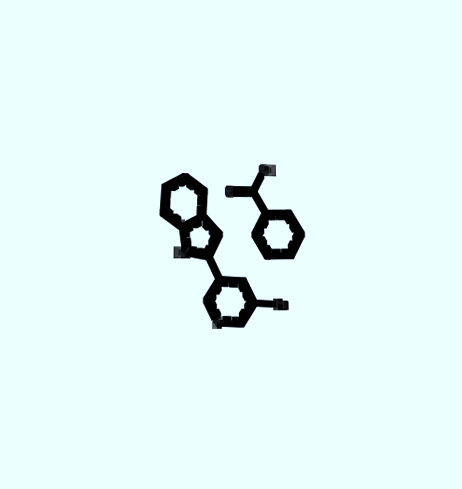 O=C(O)c1ccccc1.[Na][c]1cncc(-c2cc3ccccc3[nH]2)c1